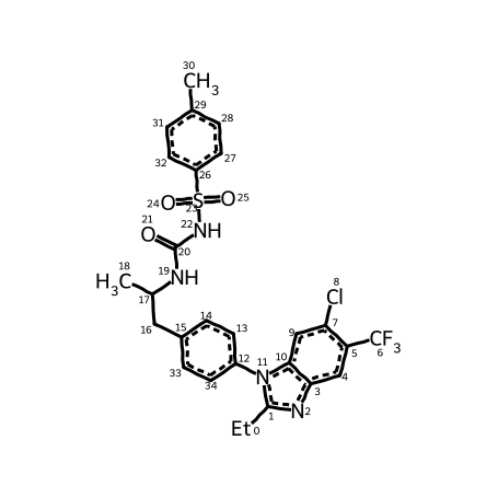 CCc1nc2cc(C(F)(F)F)c(Cl)cc2n1-c1ccc(CC(C)NC(=O)NS(=O)(=O)c2ccc(C)cc2)cc1